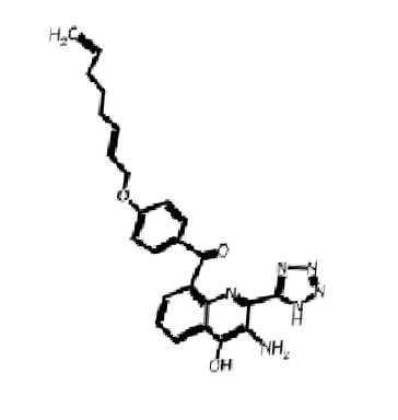 C=CCCC/C=C/COc1ccc(C(=O)c2cccc3c(O)c(N)c(-c4nnn[nH]4)nc23)cc1